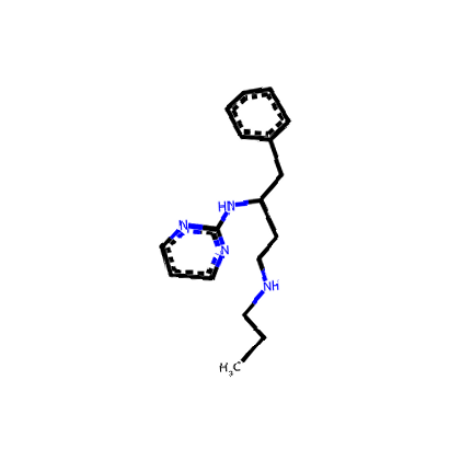 CCCNCCC(Cc1ccccc1)Nc1ncccn1